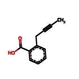 CC#CCc1ccccc1C(=O)O